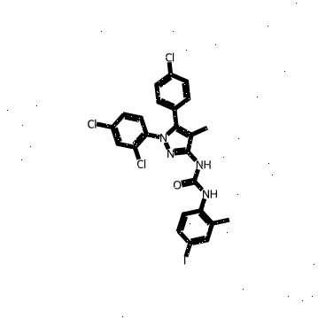 Cc1cc(I)ccc1NC(=O)Nc1nn(-c2ccc(Cl)cc2Cl)c(-c2ccc(Cl)cc2)c1C